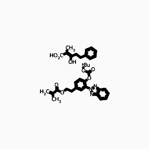 C=C(C)C(=O)OCCc1ccc(OC(=O)OC(C)(C)C)c(-n2nc3ccccc3n2)c1.CC(C(=O)O)=C(O)CCc1ccccc1